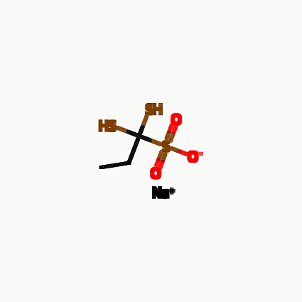 CCC(S)(S)S(=O)(=O)[O-].[Na+]